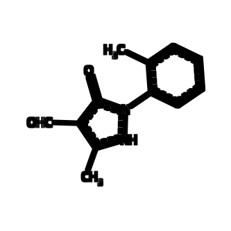 Cc1ccccc1-n1[nH]c(C)c(C=O)c1=O